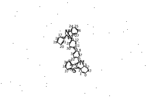 C1=Cc2c(nc(-c3ccc(-c4ccc(-n5c(-c6ccccc6)nc6ccccc65)cc4)cc3)c3c2sc2ccccc23)CC1